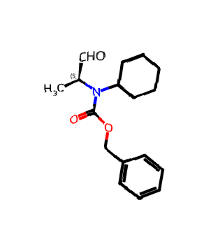 C[C@@H](C=O)N(C(=O)OCc1ccccc1)C1CCCCC1